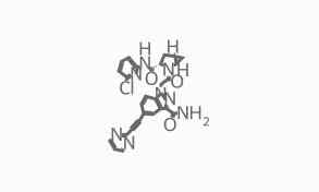 NC(=O)c1nn(CC(=O)N2[C@@H]3C[C@@H]3C[C@H]2C(=O)Nc2cccc(Cl)n2)c2ccc(C#Cc3ncccn3)cc12